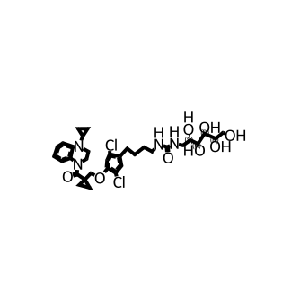 O=C(NCCCCc1cc(Cl)c(OCC2(C(=O)N3CCN(C4CC4)c4ccccc43)CC2)cc1Cl)NC[C@H](O)[C@@H](O)[C@H](O)[C@H](O)CO